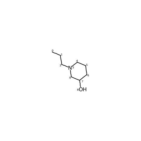 CCCN1CCCC(O)C1